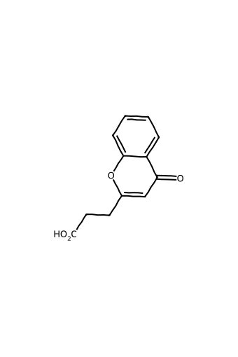 O=C(O)CCc1cc(=O)c2ccccc2o1